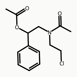 CC(=O)OC(CN(CCCl)C(C)=O)c1ccccc1